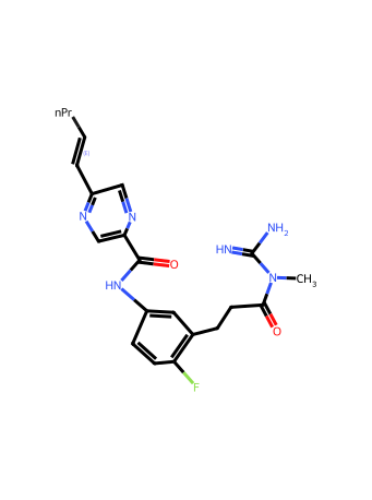 CCC/C=C/c1cnc(C(=O)Nc2ccc(F)c(CCC(=O)N(C)C(=N)N)c2)cn1